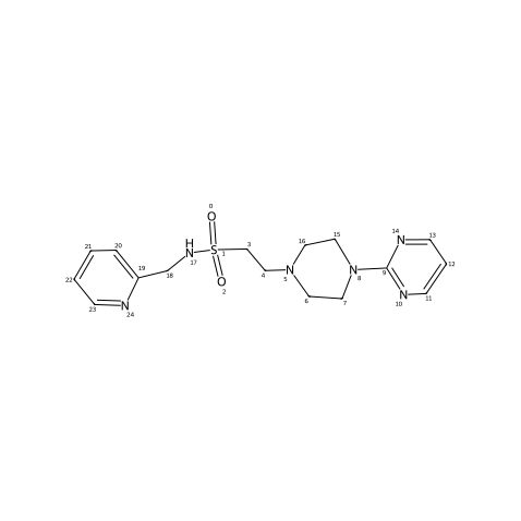 O=S(=O)(CCN1CCN(c2ncccn2)CC1)NCc1ccccn1